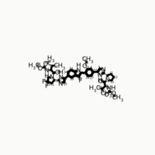 CCOc1cc(-c2cnc([C@@H]3CCCN3C(=O)[C@@H](NC(=O)OC)C(C)C)[nH]2)ccc1-c1[nH]c2ccc(-c3cnc([C@@H]4CC(F)(F)CN4C(=O)[C@@H](NC(=O)OC)C(C)C)[nH]3)cc2c1F